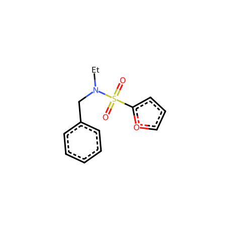 CCN(Cc1ccccc1)S(=O)(=O)c1ccco1